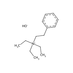 CC[N+](CC)(CC)CCc1ccccc1.[OH-]